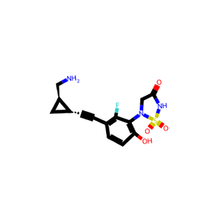 NC[C@@H]1C[C@H]1C#Cc1ccc(O)c(N2CC(=O)NS2(=O)=O)c1F